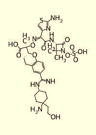 CC1(C)[C@H](NC(=O)/C(=N\O[C@](C)(C(=O)O)[C@H]2CCc3cc(C(=N)NC4CCC(N)(CCO)CC4)ccc3O2)c2csc(N)n2)C(=O)N1OS(=O)(=O)O